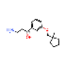 CC1(COc2cccc([C@@H](O)CCN)c2)CCCC1